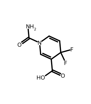 NC(=O)N1C=CC(F)(F)C(C(=O)O)=C1